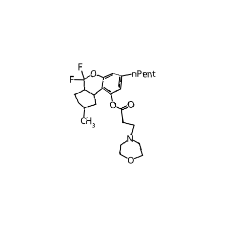 CCCCCc1cc(OC(=O)CCN2CCOCC2)c2c(c1)OC(F)(F)C1CCC(C)CC21